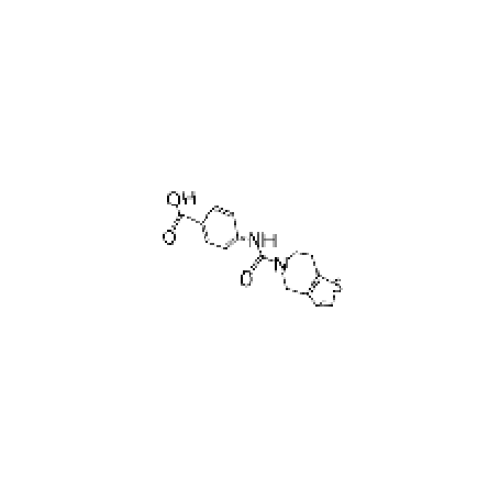 O=C(O)c1ccc(NC(=O)N2CCc3sccc3C2)cc1